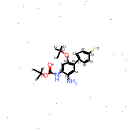 CC(C)(C)OC(=O)Nc1cc(OC(C)(C)C)c(-c2ccc(F)cc2)cc1N